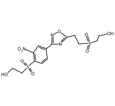 O=[N+]([O-])c1cc(-c2noc(CCS(=O)(=O)CCO)n2)ccc1S(=O)(=O)CCO